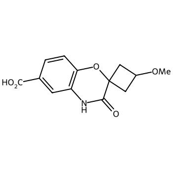 COC1CC2(C1)Oc1ccc(C(=O)O)cc1NC2=O